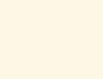 Cc1c(Sc2ccccc2)nc2nc(N)ccc2c1C